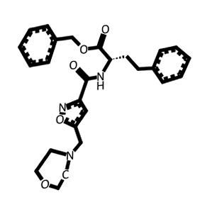 O=C(N[C@@H](CCc1ccccc1)C(=O)OCc1ccccc1)c1cc(CN2CCOCC2)on1